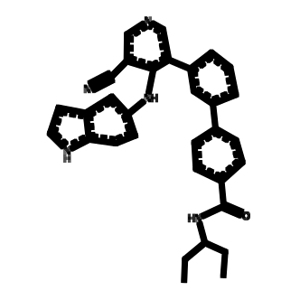 CCC(CC)NC(=O)c1ccc(-c2cccc(-c3cncc(C#N)c3Nc3ccc4[nH]ccc4c3)c2)cc1